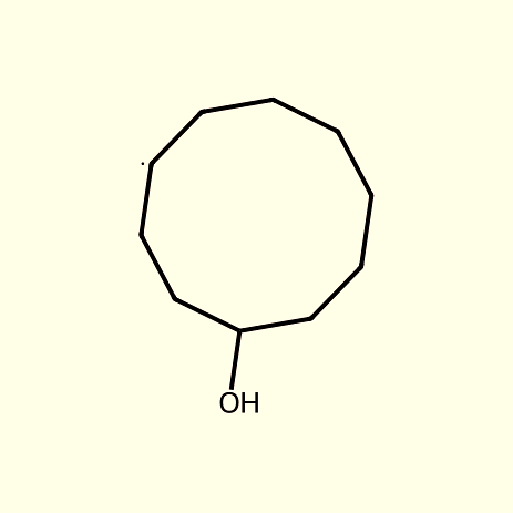 OC1CC[CH]CCCCCC1